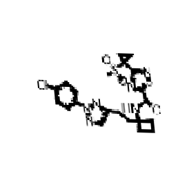 CS(=O)(=O)C1(c2nsc(C(=O)NC3(CCc4cnn(-c5ccc(Cl)cc5)n4)CCC3)n2)CC1